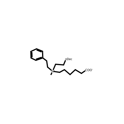 CCCCCCCCCCCC[N+](C)(CCCCCC(=O)[O-])CCc1ccccc1